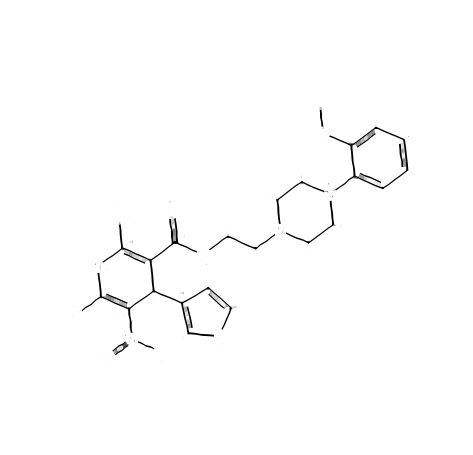 COc1ccccc1N1CCN(CCOC(=O)C2=C(C)NC(C)=C([N+](=O)[O-])C2c2ccsc2)CC1